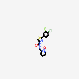 O=C(NCc1cccc[n+]1[O-])c1csc(-c2ccc(Cl)c(F)c2)n1